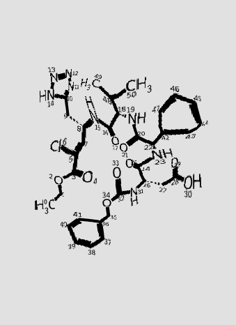 CCOC(=O)/C(Cl)=C/[C@H](Cc1nnn[nH]1)NC(=O)[C@@H](NC(=O)[C@@H](NC(=O)[C@H](CC(=O)O)NC(=O)OCc1ccccc1)c1ccccc1)C(C)C